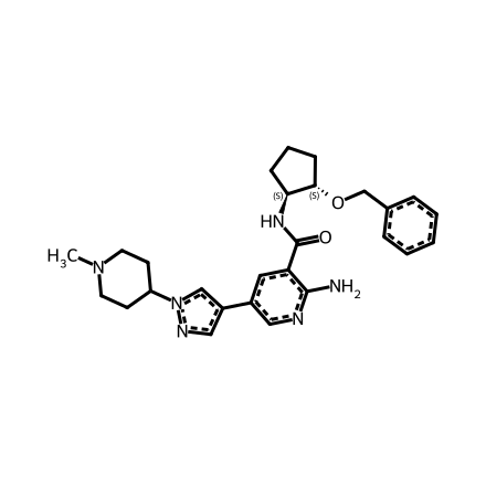 CN1CCC(n2cc(-c3cnc(N)c(C(=O)N[C@H]4CCC[C@@H]4OCc4ccccc4)c3)cn2)CC1